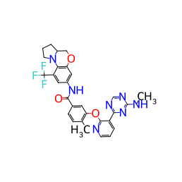 CNc1ncnc(-c2cccnc2Oc2cc(C(=O)Nc3cc4c(c(C(F)(F)F)c3)N3CCCC3CO4)ccc2C)n1